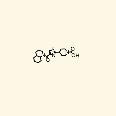 O=C(O)N1CCC(c2nc(C(=O)N3CCCC4CCCCC43)cs2)CC1